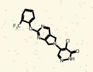 O=c1[nH]ncc(N2Cc3cnc(Oc4ccccc4C(F)(F)F)nc3C2)c1Cl